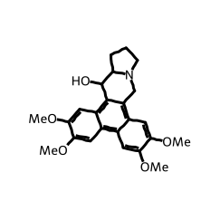 COc1cc2c3c(c4cc(OC)c(OC)cc4c2cc1OC)C(O)C1CCCN1C3